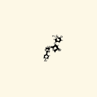 CC(=O)N1CCC(c2nsc(Nc3ncc(Br)cc3Oc3ccc(=O)n(C)c3)n2)CC1